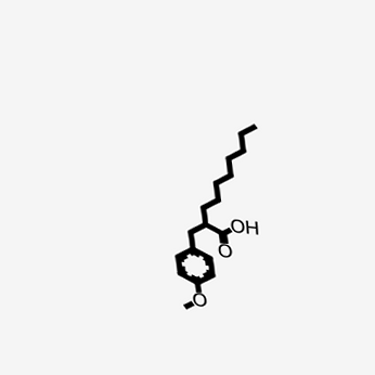 CCCCCCCCC(Cc1ccc(OC)cc1)C(=O)O